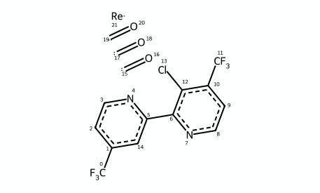 FC(F)(F)c1ccnc(-c2nccc(C(F)(F)F)c2Cl)c1.[C]=O.[C]=O.[C]=O.[Re]